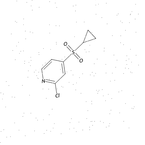 O=S(=O)(c1ccnc(Cl)c1)C1CC1